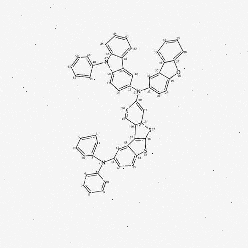 c1ccc(N(c2ccccc2)c2ccc3sc4sc5cc(N(c6ccc7oc8ccccc8c7c6)c6ccc7c(c6)c6ccccc6n7-c6ccccc6)ccc5c4c3c2)cc1